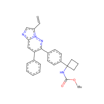 C=Cc1cnc2cc(-c3ccccc3)c(-c3ccc(C4(NC(=O)OC(C)(C)C)CCC4)cc3)nn12